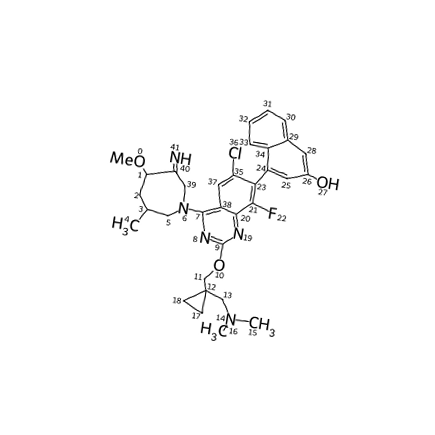 COC1CC(C)CN(c2nc(OCC3(CN(C)C)CC3)nc3c(F)c(-c4cc(O)cc5ccccc45)c(Cl)cc23)CC1=N